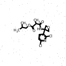 CC(C)COC(=O)C(C)C(=O)NC1(c2ccc(Cl)nc2Cl)COC1